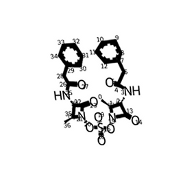 C[C@H]1[C@H](NC(=O)Cc2ccccc2)C(=O)N1OS(=O)(=O)ON1C(=O)[C@@H](NC(=O)Cc2ccccc2)[C@@H]1C